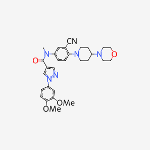 COc1ccc(-n2cc(C(=O)N(C)c3ccc(N4CCC(N5CCOCC5)CC4)c(C#N)c3)cn2)cc1OC